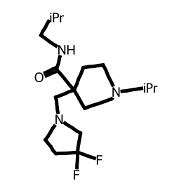 CC(C)CNC(=O)C1(CN2CCC(F)(F)C2)CCN(C(C)C)CC1